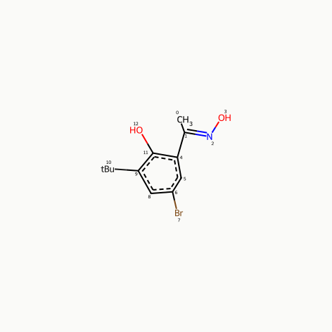 C/C(=N\O)c1cc(Br)cc(C(C)(C)C)c1O